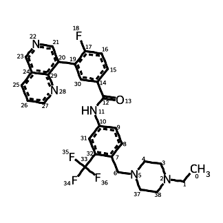 CCN1CCN(Cc2ccc(NC(=O)c3ccc(F)c(-c4cncc5cccnc45)c3)cc2C(F)(F)F)CC1